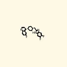 Fc1ccc2nccc([C@H]3CC[C@H](Cc4nc5cc(F)c(F)cc5[nH]4)CC3)c2c1